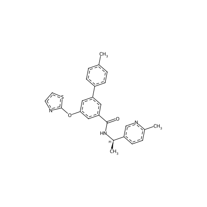 Cc1ccc(-c2cc(Oc3nccs3)cc(C(=O)N[C@H](C)c3ccc(C)nc3)c2)cc1